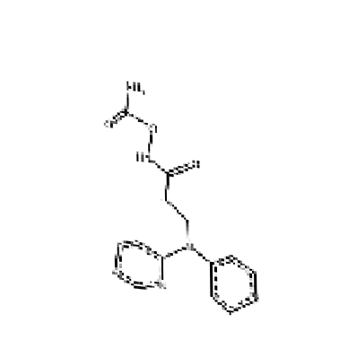 NC(=O)ONC(=O)[CH]CN(c1ccccc1)c1ccccn1